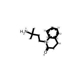 CC(C)(N)CCN1C(=O)CCc2ccccc21